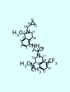 C[C@@H]1c2cccc(NCC(=O)N(CCN(C)C)Cc3ccccc3C(F)(F)F)c2CCN1CC1CC1